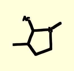 CC(=O)C1C(C)CCN1C